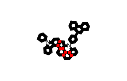 c1ccc(-c2ccccc2N(c2ccc(-c3cc4ccccc4c4ccccc34)cc2)c2ccccc2-c2cccc(-c3cccc4c3c3ccccc3n4-c3ccccc3)c2)cc1